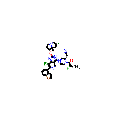 C=C(F)C(=O)N1CCN(c2nc(OCC34CCCN3C[C@H](F)C4)nc3c(F)c(-c4cccc5sccc45)ncc23)C[C@@H]1CC#N